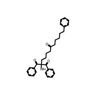 CCCCC(CCCCC(=O)CCCCCc1ccccc1)(C(=O)c1ccccc1)C(=O)c1ccccc1